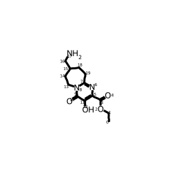 CCOC(=O)c1nc2n(c(=O)c1O)CCC(CN)CC2